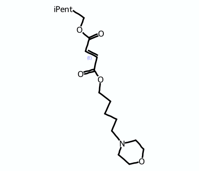 CCCC(C)COC(=O)/C=C/C(=O)OCCCCCN1CCOCC1